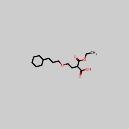 CCOC(=O)C(CCOCCCC1CCCCC1)C(=O)O